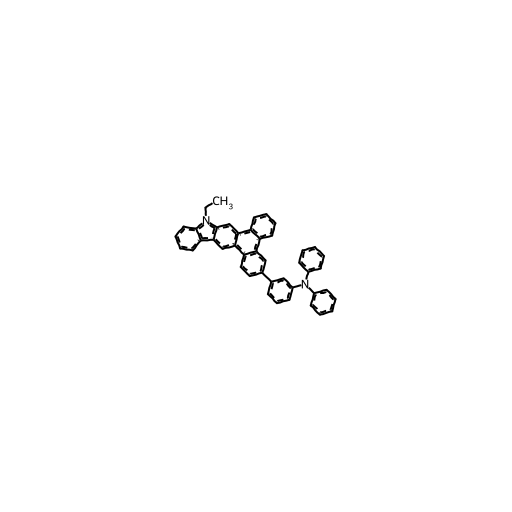 CCn1c2ccccc2c2cc3c4ccc(-c5cccc(N(c6ccccc6)c6ccccc6)c5)cc4c4ccccc4c3cc21